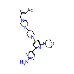 CC(=O)C=C(C)CN1CCN(C2CCN(c3cc(-c4cnc(N)nc4)nc(N4CCOCC4)c3)CC2)CC1